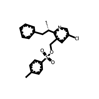 Cc1ccc(S(=O)(=O)OCc2cc(Cl)cnc2[C@@H](C)Cc2ccccc2)cc1